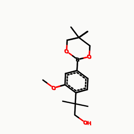 COc1cc(B2OCC(C)(C)CO2)ccc1C(C)(C)CO